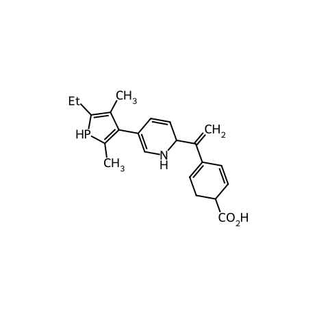 C=C(C1=CCC(C(=O)O)C=C1)C1C=CC(c2c(C)[pH]c(CC)c2C)=CN1